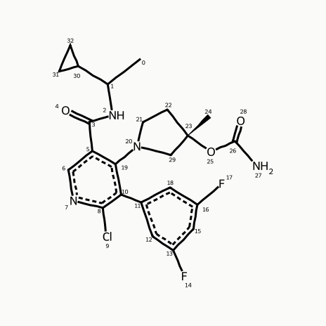 CC(NC(=O)c1cnc(Cl)c(-c2cc(F)cc(F)c2)c1N1CC[C@](C)(OC(N)=O)C1)C1CC1